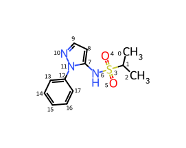 CC(C)S(=O)(=O)Nc1ccnn1-c1ccccc1